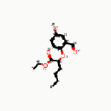 CCCCC(Oc1ccc(Br)cc1C=O)C(=O)OCC